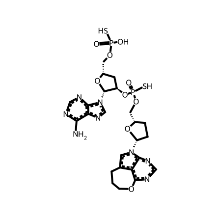 Nc1ncnc2c1ncn2[C@@H]1O[C@H](COP(=O)(O)S)C[C@H]1OP(=O)(S)OC[C@@H]1CC[C@H](n2cc3c4c(ncnc42)OCCC3)O1